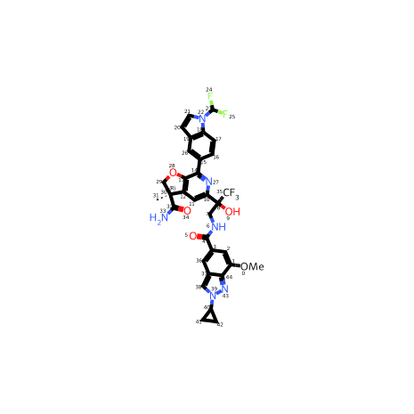 COc1cc(C(=O)NCC(O)(c2cc3c(c(-c4ccc5c(ccn5C(F)F)c4)n2)OC[C@]3(C)C(N)=O)C(F)(F)F)cc2cn(C3CC3)nc12